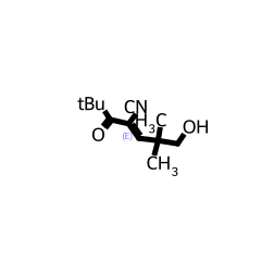 CC(C)(/C=C(\C#N)C(=O)C(C)(C)C)CO